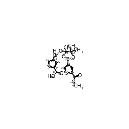 COC(=O)c1cc(B2OC(C)(C)C(C)(C)O2)cs1.O=C(O)c1cc(Br)cs1